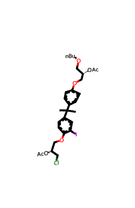 CCCCOC[C@@H](COc1ccc(C(C)(C)c2ccc(OC[C@H](CCl)OC(C)=O)c(I)c2)cc1)OC(C)=O